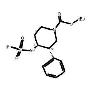 CC(C)S(=O)(=O)N[C@H]1CCN(C(=O)OC(C)(C)C)C[C@@H]1c1ccccc1